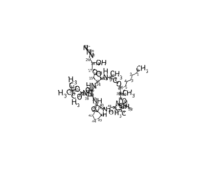 CCCCCC[C@H]1OC[C@@H](C)NC(=O)[C@H](COCC(O)CN=[N+]=[N-])NC(=O)[C@H](CNC(=O)OC(C)(C)C)NC(=O)[C@H](C2CCCCC2)NC(=O)[C@H](CC(C)C)N(C)C(=O)[C@@H]1C